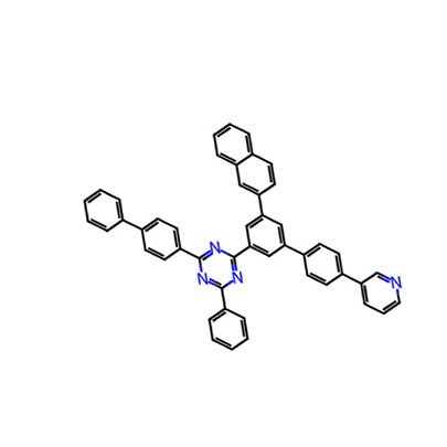 c1ccc(-c2ccc(-c3nc(-c4ccccc4)nc(-c4cc(-c5ccc(-c6cccnc6)cc5)cc(-c5ccc6ccccc6c5)c4)n3)cc2)cc1